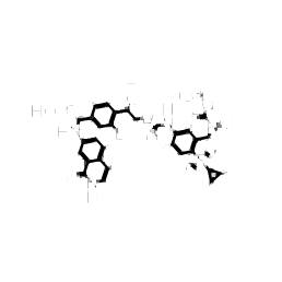 CCc1cc(C(Nc2ccc3cc[nH]c(=O)c3c2)C(=O)O)ccc1[C@@H](C)COC(=O)Nc1ccc(S(=O)(=O)C2CC2)c(CN(C)C(=O)OC(C)(C)C)c1